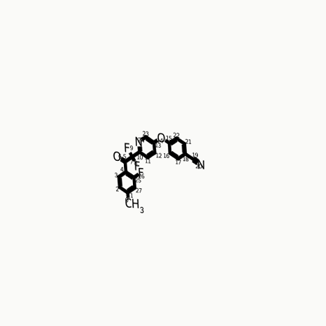 Cc1ccc(C(=O)C(F)(F)c2ccc(Oc3ccc(C#N)cc3)cn2)c(F)c1